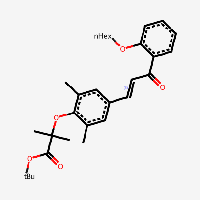 CCCCCCOc1ccccc1C(=O)/C=C/c1cc(C)c(OC(C)(C)C(=O)OC(C)(C)C)c(C)c1